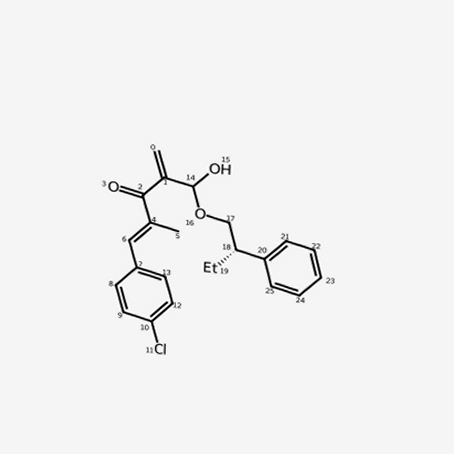 C=C(C(=O)/C(C)=C/c1ccc(Cl)cc1)C(O)OC[C@@H](CC)c1ccccc1